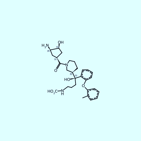 Cc1ccccc1Oc1ccccc1[C@](O)(CCCNC(=O)O)[C@@H]1CCCN(C(=O)[C@H]2C[C@@H](N)[C@@H](O)C2)C1